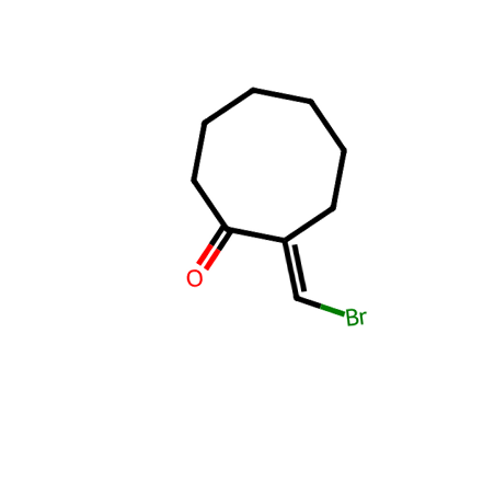 O=C1CCCCCC/C1=C\Br